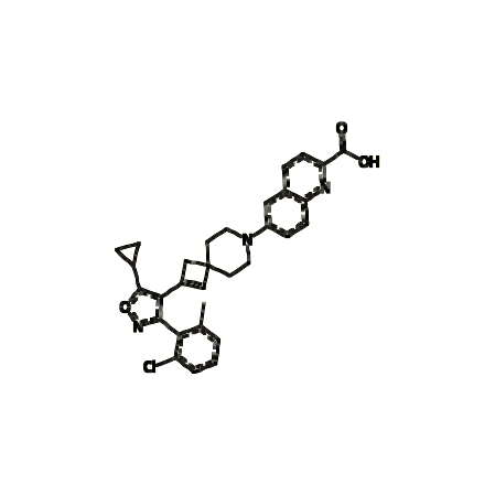 Cc1cccc(Cl)c1-c1noc(C2CC2)c1C1=CC2(CCN(c3ccc4nc(C(=O)O)ccc4c3)CC2)C1